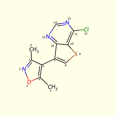 Cc1noc(C)c1-c1csc2c(Cl)ncnc12